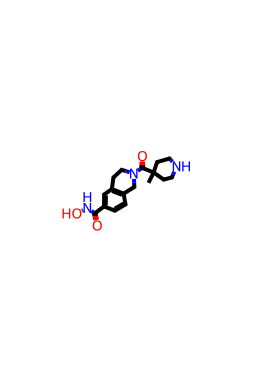 CC1(C(=O)N2CCc3cc(C(=O)NO)ccc3C2)CCNCC1